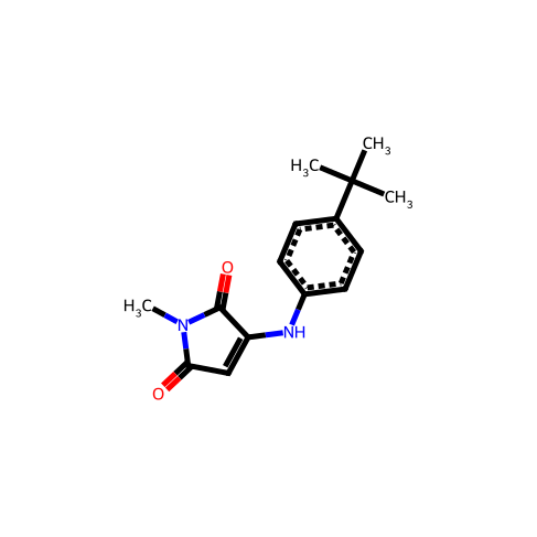 CN1C(=O)C=C(Nc2ccc(C(C)(C)C)cc2)C1=O